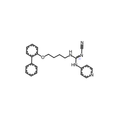 N#C/N=C(\NCCCCOc1ccccc1-c1ccccc1)Nc1ccncc1